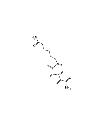 C=C(CCCCCC(N)=O)C(=C)C(=C)C(=C)C(=C)C(N)=O